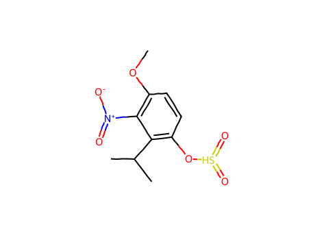 COc1ccc(O[SH](=O)=O)c(C(C)C)c1[N+](=O)[O-]